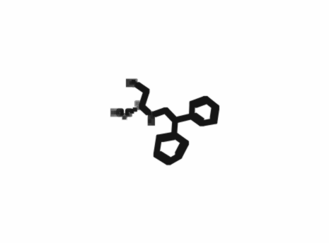 O=C(O)[C@H](CS)NCC(c1ccccc1)c1ccccc1